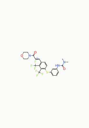 CN(C)C(=O)Nc1cccc(Sc2ccc(/C=C/C(=O)N3CCOCC3)c(C(F)(F)F)c2C(F)(F)F)c1